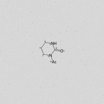 CC(=O)N1CCCNC1=O